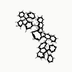 c1ccc(C2(c3ccccc3)c3ccccc3-c3ccc(-c4c5ccccc5cc5c4c4cccc6c7c(-c8ccc9c(c8)C(c8ccccc8)(c8ccccc8)c8ccccc8-9)c8ccccc8cc7n5c46)cc32)cc1